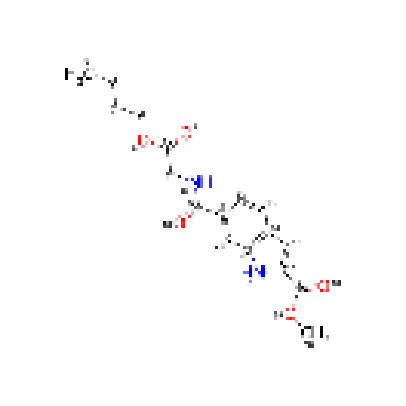 CCCCOC(=O)CNC(=O)c1ccc2cc(C(=O)OC)[nH]c2c1